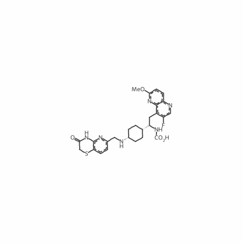 COc1ccc2ncc(F)c(CC(NC(=O)O)[C@H]3CC[C@@H](NCc4ccc5c(n4)NC(=O)CS5)CC3)c2n1